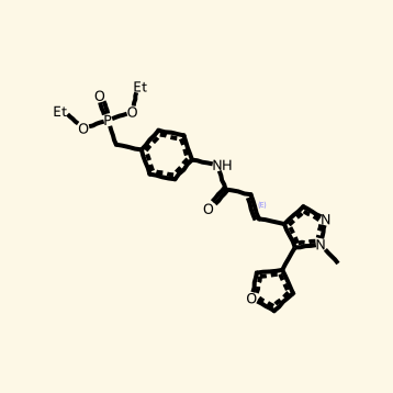 CCOP(=O)(Cc1ccc(NC(=O)/C=C/c2cnn(C)c2-c2ccoc2)cc1)OCC